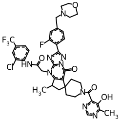 Cc1ncnc(C(=O)N2CCC3(CC2)CC(C)c2c3c(=O)n3nc(-c4ccc(CN5CCOCC5)cc4F)nc3n2CC(=O)Nc2ccc(C(F)(F)F)cc2Cl)c1O